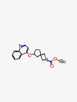 CC(C)(C)OC(=O)N1CC2(CCC(Oc3ccnc4ccccc34)C2)C1